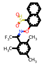 Cc1cc(C)c(C(=NOc2ccc3ccccc3c2[SH](=O)=O)C(F)(F)F)c(C)c1